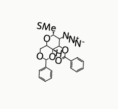 CS[C@@H]1OC2COC(c3ccccc3)O[C@H]2C(OC(=O)c2ccccc2)C1N=[N+]=[N-]